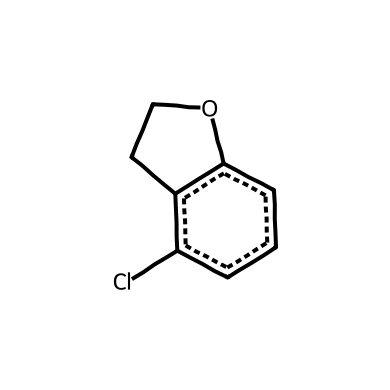 Clc1cccc2c1CCO2